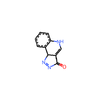 O=C1N=NC2C1=CNc1ccccc12